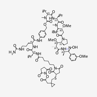 CC[C@H](C)C([C@@H](CC(=O)N1CCC[C@H]1[C@H](OC)[C@@H](C)C(=O)N[C@H](C)/C(=N/O)c1cccc(OC)c1)OC)N(C)C(=O)[C@@H](NC(=O)[C@H](C(C)C)N(C)C(=O)OCc1ccc(NC(=O)[C@H](CCCNC(N)=O)NC(=O)[C@@H](NC(=O)CCCCCN2C(=O)CC(SCC3(CC(=O)ON4C(=O)CCC4=O)CC3)C2=O)C(C)C)cc1)C(C)C